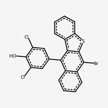 Oc1c(Cl)cc(-c2c3ccccc3c(Br)c3sc4ccccc4c23)cc1Cl